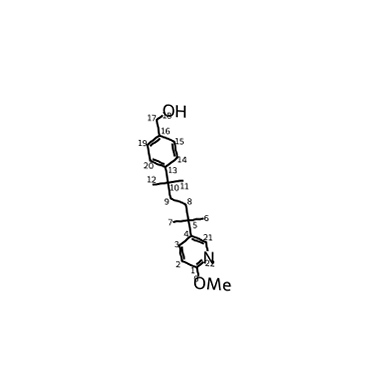 COc1ccc(C(C)(C)CCC(C)(C)c2ccc(CO)cc2)cn1